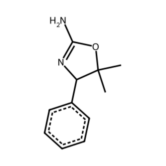 CC1(C)OC(N)=NC1c1ccccc1